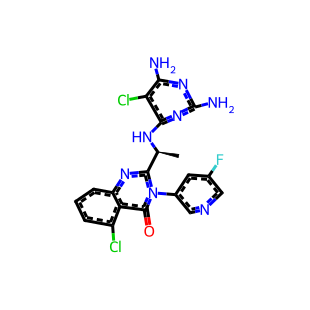 C[C@H](Nc1nc(N)nc(N)c1Cl)c1nc2cccc(Cl)c2c(=O)n1-c1cncc(F)c1